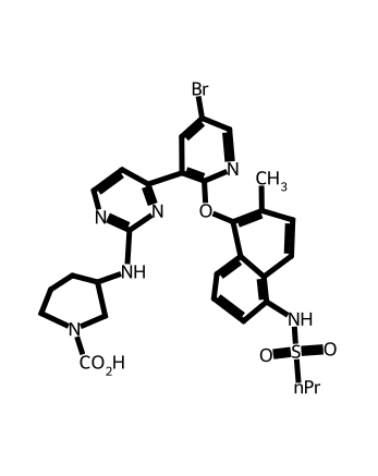 CCCS(=O)(=O)Nc1cccc2c(Oc3ncc(Br)cc3-c3ccnc(NC4CCCN(C(=O)O)C4)n3)c(C)ccc12